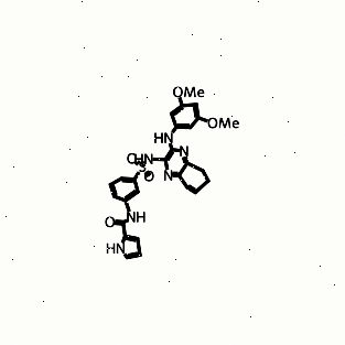 COc1cc(Nc2nc3c(nc2NS(=O)(=O)c2cccc(NC(=O)c4ccc[nH]4)c2)C=CCC3)cc(OC)c1